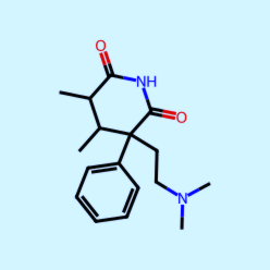 CC1C(=O)NC(=O)C(CCN(C)C)(c2ccccc2)C1C